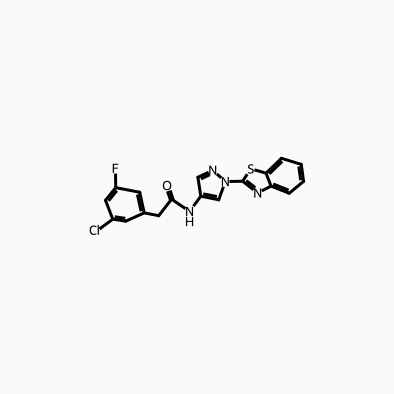 O=C(Cc1cc(F)cc(Cl)c1)Nc1cnn(-c2nc3ccccc3s2)c1